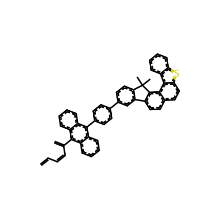 C=C/C=C\C(=C)c1c2ccccc2c(-c2ccc(-c3ccc4c(c3)-c3ccc5ccc6sc7ccccc7c6c5c3C4(C)C)cc2)c2ccccc12